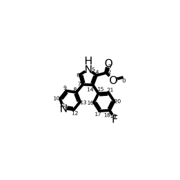 COC(=O)c1[nH]cc(-c2ccncc2)c1-c1ccc(F)cc1